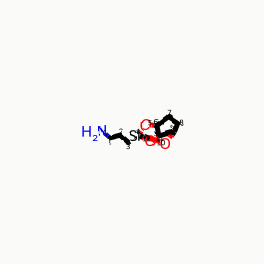 NCCC[Si]12OC3CCC(O1)C3O2